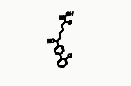 O=C(CCCCC(O)c1ccc(-c2ccccc2Cl)cc1)NO